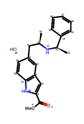 COC(=O)c1cc2cc(C[C@@H](C)N[C@H](C)c3ccccc3)ccc2[nH]1.Cl